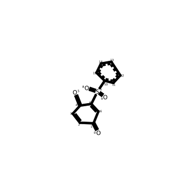 O=C1C=CC(=O)C(S(=O)(=O)c2ccccc2)=C1